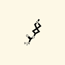 CN1CC2(CC(OC(N)=O)C2)C1